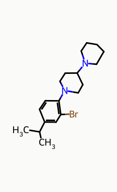 CC(C)c1ccc(N2CCC(N3CCCCC3)CC2)c(Br)c1